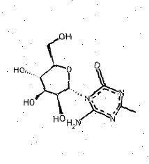 Cc1nc(N)n([C@H]2O[C@H](CO)[C@@H](O)[C@H](O)[C@@H]2O)c(=O)n1